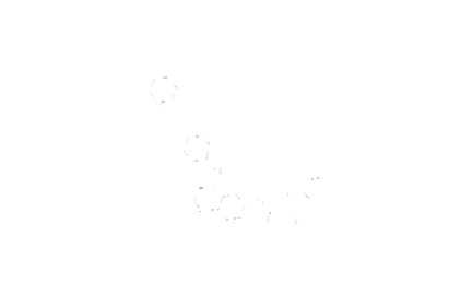 C=CC(=O)NC(C(=O)Nc1ccc2ncnc(Nc3ccc(OCc4ccccn4)c(Cl)c3)c2c1)C(C)C